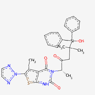 Cc1c(-n2nccn2)sc2[nH]c(=O)n([C@@H](C)C(=O)CC(C)(C)[Si](O)(c3ccccc3)c3ccccc3)c(=O)c12